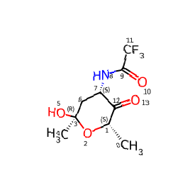 C[C@@H]1O[C@@](C)(O)C[C@H](NC(=O)C(F)(F)F)C1=O